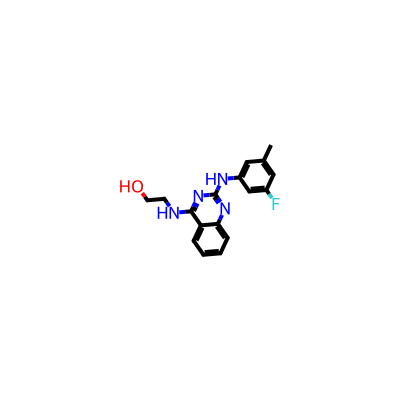 Cc1cc(F)cc(Nc2nc(NCCO)c3ccccc3n2)c1